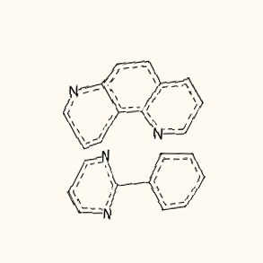 c1ccc(-c2ncccn2)cc1.c1cnc2c(c1)ccc1ncccc12